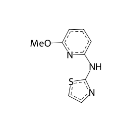 COc1cccc(Nc2nccs2)n1